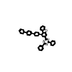 c1ccc(-c2ccc(-c3ccc(-c4cc(-c5nc(-c6ccccc6)nc(-c6ccccc6)n5)cc5oc6ccccc6c45)cc3)cc2)cc1